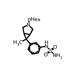 CCCCCCN1CC2C(C1)C2(C)c1cccc(NS(N)(=O)=O)c1